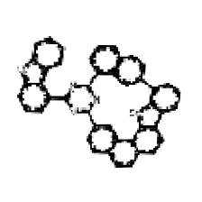 c1ccc(-c2nc(-c3ccc4ccc5ccc6c7cccc(-c8ccccc8)c7[se]c6c5c4c3)nc(-c3cccc4oc5ccccc5c34)n2)cc1